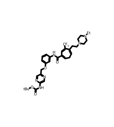 CCN1CCN(CCC2=CCC=C(C(=O)Nc3cccc(OCc4cnc(NC(=O)OC(C)(C)C)cn4)c3)C=C2C(F)(F)F)CC1